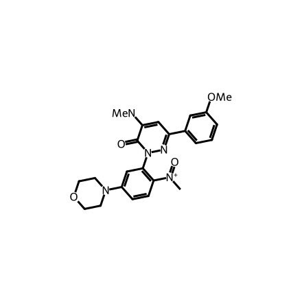 CNc1cc(-c2cccc(OC)c2)nn(-c2cc(N3CCOCC3)ccc2[N+](C)=O)c1=O